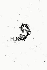 CC(C)CC(C)(C)CC(C)(C)CC(C)(C)OCCC(C)(C)OCCOCC(C)(C)CC(C)(C)C(N)C(C)C